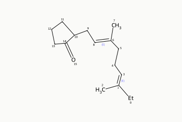 CC/C(C)=C/CC/C(C)=C/CC1CCCC1=O